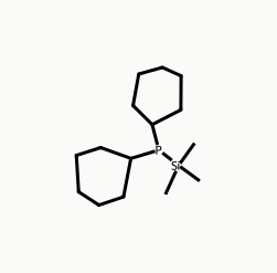 C[Si](C)(C)P(C1CCCCC1)C1CCCCC1